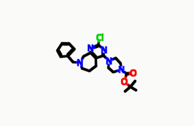 CC(C)(C)OC(=O)N1CCN(c2nc(Cl)nc3c2CCCN(Cc2ccccc2)C3)CC1